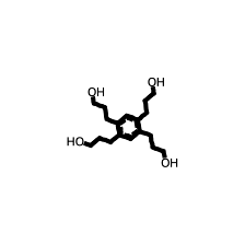 OCCCc1cc(CCCO)c(CCCO)cc1CCCO